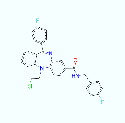 O=C(NCc1ccc(F)cc1)c1ccc2c(c1)N=C(c1ccc(F)cc1)c1ccccc1N2CCCl